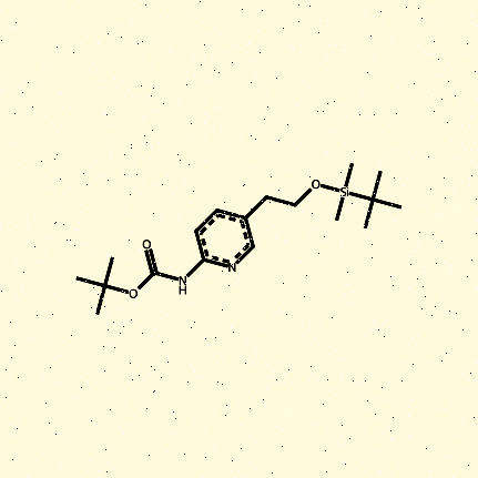 CC(C)(C)OC(=O)Nc1ccc(CCO[Si](C)(C)C(C)(C)C)cn1